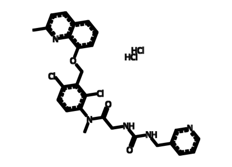 Cc1ccc2cccc(OCc3c(Cl)ccc(N(C)C(=O)CNC(=O)NCc4cccnc4)c3Cl)c2n1.Cl.Cl